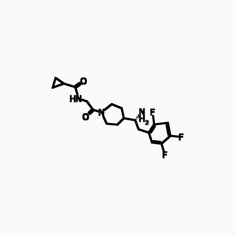 N[C@H](Cc1cc(F)c(F)cc1F)C1CCN(C(=O)CNC(=O)C2CC2)CC1